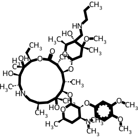 CCCNC[C@]1(O)[C@H](C)O[C@@H](O[C@H]2[C@H](C)[C@@H](O[C@@H]3O[C@H](C)C[C@H](N(C)C)[C@H]3Oc3ccc(OC)c(OC)c3)[C@](C)(O)C[C@@H](C)CN[C@H](C)[C@@H](O)[C@](C)(O)[C@@H](CC)OC(=O)[C@@H]2C)C[C@@]1(C)OC